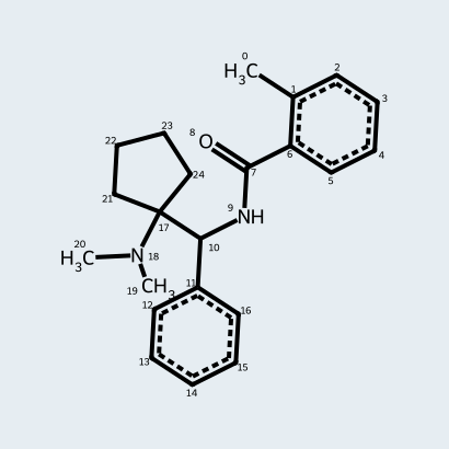 Cc1ccccc1C(=O)NC(c1ccccc1)C1(N(C)C)CCCC1